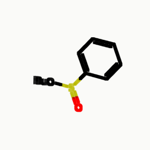 CC(C)COS(=O)c1ccccc1